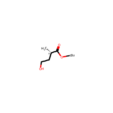 C[C@@H](CCO)C(=O)OC(C)(C)C